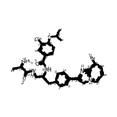 CC(C)Oc1ccc(C(=O)NC(CNC(=O)C(C)N)Cc2ccc(-c3cn4cccc(Br)c4n3)cc2)cc1Cl